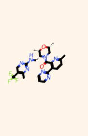 Cc1ccc(-c2ncccn2)c(C(=O)N2C[C@@H](C)O[C@@H](C)[C@H]2CNc2ncc(C(F)(F)F)c(C)n2)n1